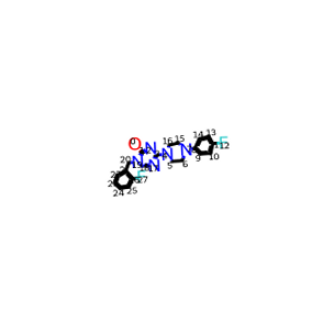 O=c1nc(N2CCN(c3ccc(F)cc3)CC2)ncn1Cc1ccccc1F